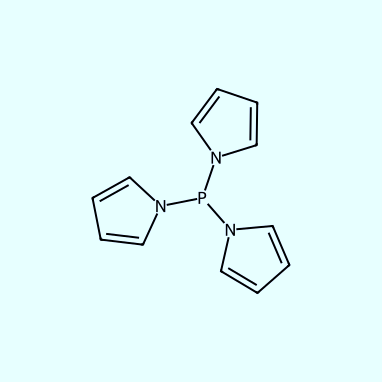 c1ccn(P(n2cccc2)n2cccc2)c1